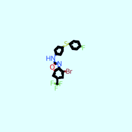 Fc1ccc(Sc2ccc(Nc3nc4c(Br)cc(C(F)(F)F)cc4o3)cc2)cc1